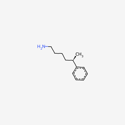 C[C@H](CCCCN)c1ccccc1